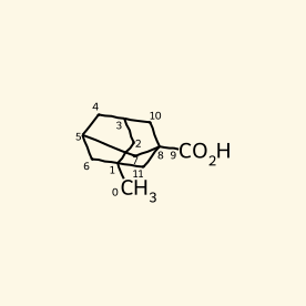 CC12CC3CC(C1)CC(C(=O)O)(C3)C2